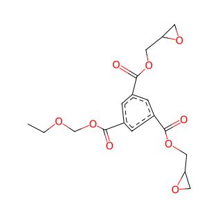 CCOCOC(=O)c1cc(C(=O)OCC2CO2)cc(C(=O)OCC2CO2)c1